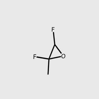 CC1(F)OC1F